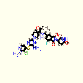 C[C@@H]1OCC2(CCN(c3cnc(Sc4ccnc(N)c4Cl)c(N)n3)CC2)[C@@H]1NCc1cc(F)c2c(c1)C(=O)N(C1CCC(=O)NC1=O)C2=O